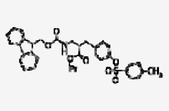 Cc1ccc(S(=O)(=O)Oc2ccc(CC(CNC(=O)OCC3c4ccccc4-c4ccccc43)C(=O)OC(C)C)cc2)cc1